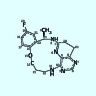 C[C@H]1NC2=Nc3c(ncnc3NCCCOc3ccc(F)cc31)CC2